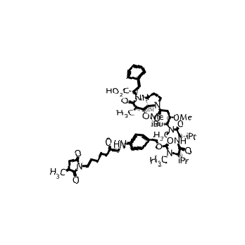 CC[C@H](C)[C@@H]([C@@H](CC(=O)N1CCC[C@H]1[C@H](OC)[C@@H](C)C(=O)N[C@@H](Cc1ccccc1)C(=O)O)OC)N(C)C(=O)[C@@H](NC(=O)[C@H](C(C)C)N(C)C(=O)OCc1ccc(NCC(=O)CCCCCN2C(=O)CC(C)C2=O)cc1)C(C)C